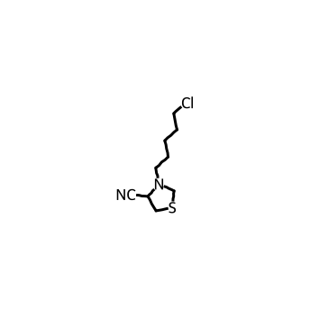 N#CC1CSCN1CCCCCCl